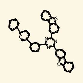 c1ccc(-c2ccc(-c3cccc(-c4nc(-c5ccc6c(c5)oc5ccccc56)nc(-c5ccc6sc7ccccc7c6c5)n4)c3)cc2)cc1